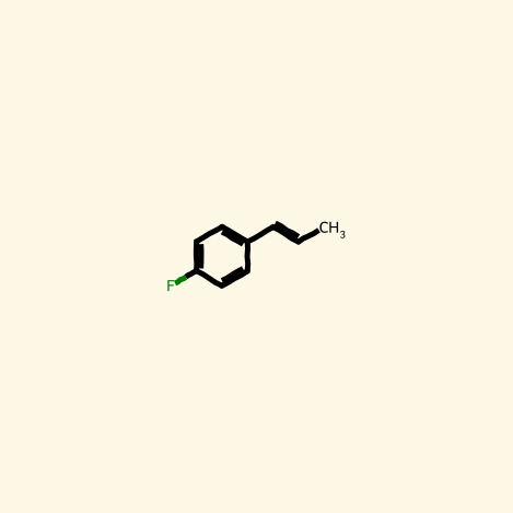 CC=Cc1ccc(F)cc1